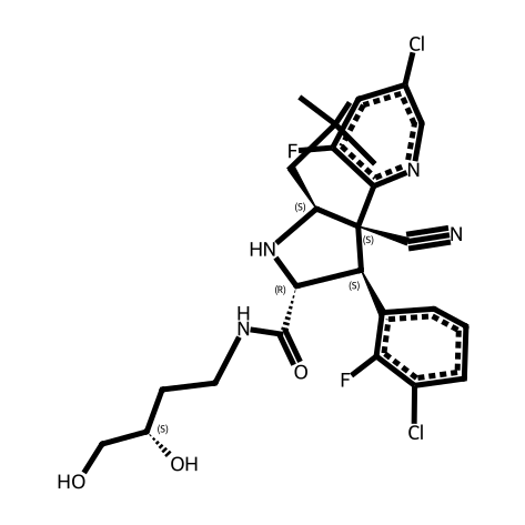 CC(C)(C)C[C@@H]1N[C@@H](C(=O)NCC[C@H](O)CO)[C@H](c2cccc(Cl)c2F)[C@@]1(C#N)c1ncc(Cl)cc1F